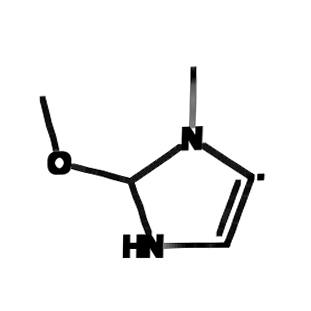 COC1NC=[C]N1C